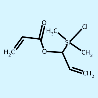 C=CC(=O)OC(C=C)[Si](C)(C)Cl